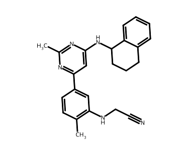 Cc1nc(NC2CCCc3ccccc32)cc(-c2ccc(C)c(NCC#N)c2)n1